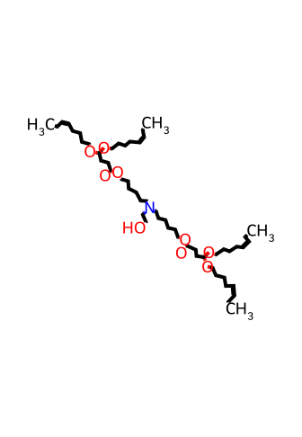 CC/C=C\CCCCOC(CCC(=O)OCCCCCCN(CCO)CCCCCCOC(=O)CCC(OCCCC/C=C\CC)OCCCC/C=C\CC)OCCCC/C=C\CC